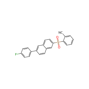 N#Cc1ccccc1S(=O)(=O)c1ccc2cc(-c3ccc(F)cc3)ccc2c1